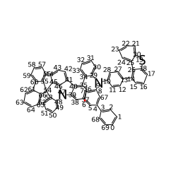 c1ccc(-c2cccc(N(c3ccc(-c4cccc5sc6ccccc6c45)cc3)c3ccccc3-c3cccc4c3c3cccc5c3n4-c3ccccc3C53c4ccccc4-c4ccccc43)c2)cc1